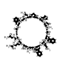 CCCC[C@H]1C(=O)N(C)[C@@H](CCCC)C(=O)N[C@@H](CCCNC(=N)N)C(=O)N[C@H](C(=O)NCC(N)=O)CSCC(=O)N[C@@H](Cc2ccccc2)C(=O)N(C)[C@@H](C)C(=O)N[C@@H](CC(N)=O)C(=O)N2CCC[C@H]2C(=O)N[C@@H](Cc2cnc[nH]2)C(=O)N[C@@H](CC(C)C)C(=O)N(C)CC(=O)N[C@@H](Cc2c[nH]c3ccccc23)C(=O)N[C@@H](CCCN)C(O)N[C@@H](Cc2c[nH]c3ccccc23)C(=O)N1C